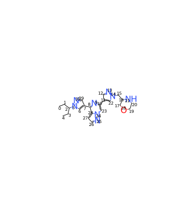 CCC(CC)n1cc(-c2nc(-c3cnn(CC4COCCN4)c3)cn3nccc23)cn1